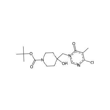 Cc1c(Cl)ncn(CC2(O)CCN(C(=O)OC(C)(C)C)CC2)c1=O